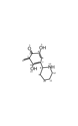 C=C1C(=O)C(O)=CC(C2CCCCN2)=C1O